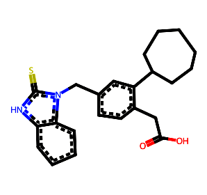 O=C(O)Cc1ccc(Cn2c(=S)[nH]c3ccccc32)cc1C1CCCCCC1